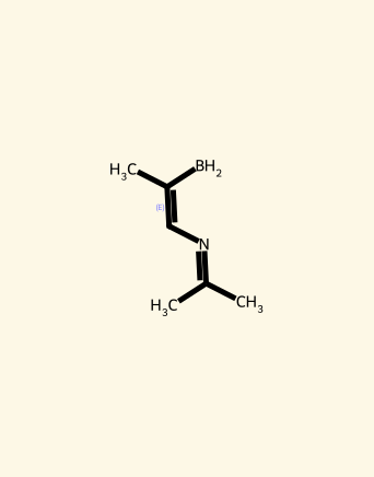 B/C(C)=C\N=C(C)C